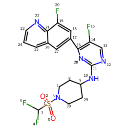 O=S(=O)(C(F)F)N1CCC(Nc2ncc(F)c(-c3cc(F)c4ncccc4c3)n2)CC1